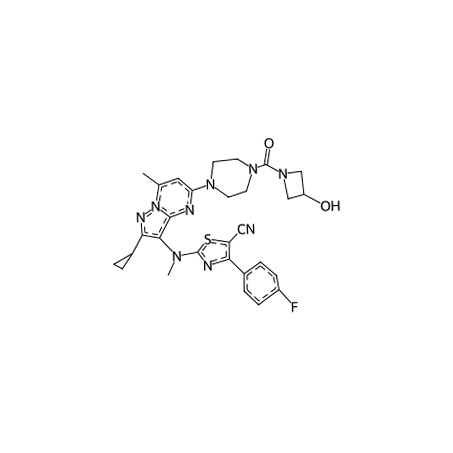 Cc1cc(N2CCN(C(=O)N3CC(O)C3)CC2)nc2c(N(C)c3nc(-c4ccc(F)cc4)c(C#N)s3)c(C3CC3)nn12